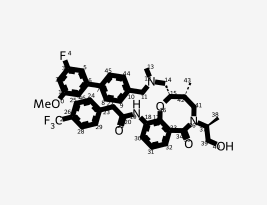 COc1cc(F)cc(-c2ccc(CN(C)C[C@H]3Oc4c(NC(=O)Cc5ccc(C(F)(F)F)cc5)cccc4C(=O)N([C@@H](C)CO)C[C@H]3C)cc2)c1